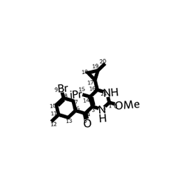 COC1NC(C(=O)C2CC(Br)=CC(C)C2)=C(C(C)C)C(C2CC2C)N1